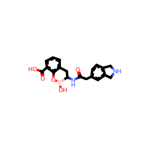 O=C(Cc1ccc2c(c1)CNC2)NC1Cc2cccc(C(=O)O)c2OB1O